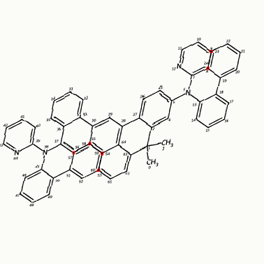 CC1(C)c2cc(N(c3ccccn3)c3ccccc3-c3ccccc3)ccc2-c2cc3c4ccccc4c(N(c4ccccn4)c4ccccc4-c4ccccc4)cc3c3cccc1c23